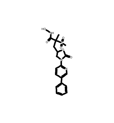 CC(CC1CN(c2ccc(-c3ccccc3)cn2)C(=O)O1)(C(=O)NO)S(C)(=O)=O